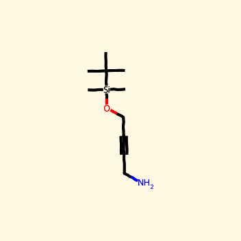 CC(C)(C)[Si](C)(C)OCC#CCN